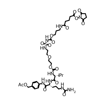 CC(=O)OCc1ccc(NC(=O)[C@@H](CCCNC(N)=O)NC(=O)[C@H](NC(=O)OCCOCCNS(=O)(=O)NC(=O)OCCCNC(=O)CCCC(=O)ON2C(=O)CCC2=O)C(C)C)cc1